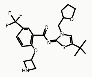 CC(C)(C)c1cn(CC2CCCO2)c(=NC(=O)c2cc(C(F)(F)F)ccc2OC2CNC2)s1